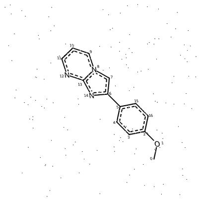 COc1ccc(-c2cn3cccnc3n2)cc1